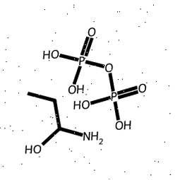 CCC(N)O.O=P(O)(O)OP(=O)(O)O